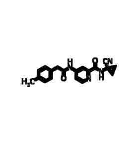 Cc1ccc(CC(=O)Nc2ccnc(C(=O)NC3(C#N)CC3)c2)cc1